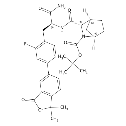 CC(C)(C)OC(=O)N1[C@@H]2CC[C@@H](C2)[C@H]1C(=O)N[C@@H](Cc1ccc(-c2ccc3c(c2)C(=O)OC3(C)C)cc1F)C(N)=O